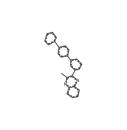 Cc1nc2ccccc2nc1-c1cccc(-c2ccc(-c3ccccc3)cc2)c1